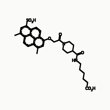 Cc1cc(OCC(=O)N2CCC(C(=O)NCCCCCC(=O)O)CC2)c2ccc3c(S(=O)(=O)O)cc(C)c4ccc1c2c43